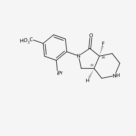 CC(C)c1cc(C(=O)O)ccc1N1C[C@@H]2CNCC[C@]2(F)C1=O